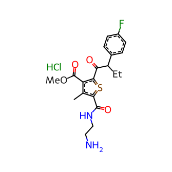 CCC(C(=O)c1sc(C(=O)NCCN)c(C)c1C(=O)OC)c1ccc(F)cc1.Cl